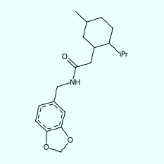 CC1CCC(C(C)C)C(CC(=O)NCc2ccc3c(c2)OCO3)C1